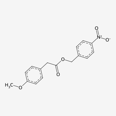 COc1ccc(CC(=O)OCc2ccc([N+](=O)[O-])cc2)cc1